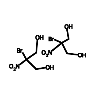 O=[N+]([O-])C(Br)(CO)CO.O=[N+]([O-])C(Br)(CO)CO